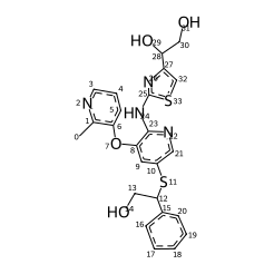 Cc1ncccc1Oc1cc(SC(CO)c2ccccc2)cnc1Nc1nc(C(O)CO)cs1